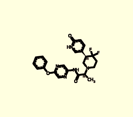 C[C@@H](C(=O)Nc1cnc(Oc2ccccc2)cn1)N1CCC(F)(F)[C@@H](c2ccc(=O)[nH]c2)C1